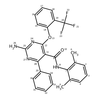 Cc1cccc(C)c1NC(=O)c1c(Oc2ccccc2C(F)(F)F)nc(N)nc1-c1ccccc1